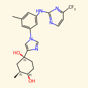 Cc1cc(Nc2nccc(C(F)(F)F)n2)cc(-n2cnc([C@]3(O)CC[C@@H](O)[C@@H](C)C3)c2)c1